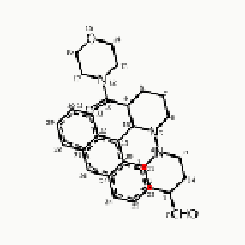 O=CC1CCN(N2CCCC(C(=O)N3CCOCC3)C2c2c3ccccc3cc3ccccc23)CC1